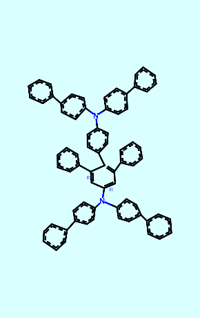 C=C(/C=C(\C=C(/Cc1ccc(N(c2ccc(-c3ccccc3)cc2)c2ccc(-c3ccccc3)cc2)cc1)c1ccccc1)N(c1ccc(-c2ccccc2)cc1)c1ccc(-c2ccccc2)cc1)c1ccccc1